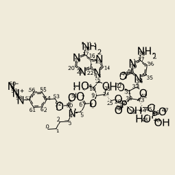 CCCCN(CC(=O)O[C@H]1[C@@H](O)[C@H](n2cnc3c(N)ncnc32)O[C@@H]1COP(=O)(O)[C@H]1[C@@H](O)[C@H](n2ccc(N)nc2=O)O[C@@H]1COP(=O)(O)O)C(=O)OCc1ccc(N=[N+]=[N-])cc1